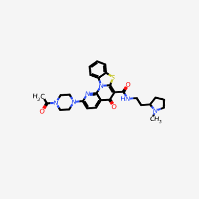 CC(=O)N1CCN(c2ccc3c(=O)c(C(=O)NCCC4CCCN4C)c4sc5ccccc5n4c3n2)CC1